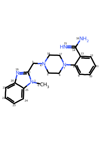 Cn1c(CN2CCN(c3ccccc3C(=N)N)CC2)nc2ccccc21